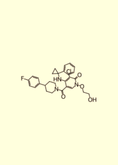 O=C(c1cn(OCCO)c(=O)c(Cl)c1NC1(c2ccccc2)CC1)N1CCC(c2ccc(F)cc2)CC1